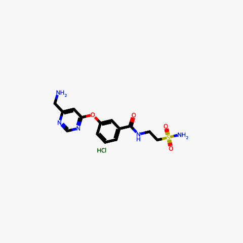 Cl.NCc1cc(Oc2cccc(C(=O)NCCS(N)(=O)=O)c2)ncn1